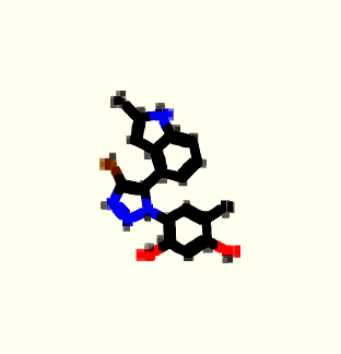 CCc1cc(-n2nnc(S)c2-c2cccc3[nH]c(C(C)C)cc23)c(O)cc1O